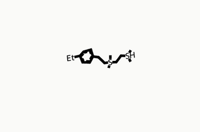 CCc1ccc(CCS(C)(C)CC[SH](C)C)cc1